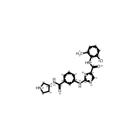 Cc1cccc(Cl)c1NC(=O)c1cnc(Nc2cccc(C(=O)N[C@@H]3CCNC3)c2)s1